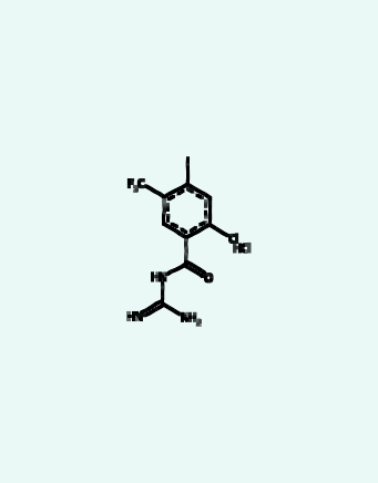 Cc1cc(Cl)c(C(=O)NC(=N)N)cc1C(F)(F)F.Cl